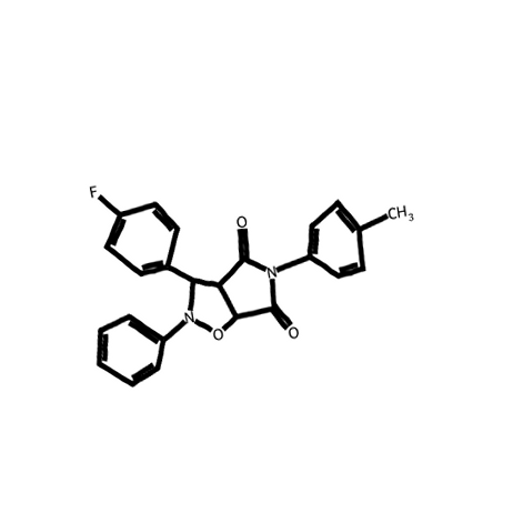 Cc1ccc(N2C(=O)C3ON(c4ccccc4)C(c4ccc(F)cc4)C3C2=O)cc1